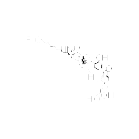 Cc1cc(C(=O)N2CCC(OCC(O)CO)CC2)cc(C)c1CCS(=O)(=O)N1CCC2(CC1)N=C(CCCCCCCCC(F)(F)F)NC2=O